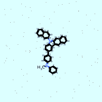 CN(c1ccccc1)c1ccc(-c2ccc3c(c2)c2cc4ccccc4cc2n3-c2ccc3ccccc3c2)cc1